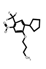 CCCCOc1cc([N+](=O)[O-])c(C(F)(F)F)cc1C1CCCC1